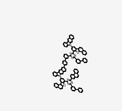 c1ccc(-c2cccc(-c3nc(-c4cccc(-c5ccc(-c6ccc7cc8c(cc7c6)c6ccccc6n8-c6cc(-c7nc(-c8cccc(-c9ccccc9)c8)nc(-c8ccc9c(ccc%10ccccc%109)c8)n7)c7oc8ccc9ccccc9c8c7c6)cc5)c4)nc(-c4cc(-n5c6ccccc6c6cc7ccccc7cc65)cc5c4oc4c6ccccc6ccc54)n3)c2)cc1